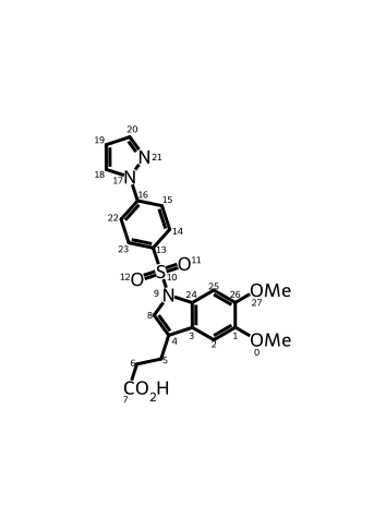 COc1cc2c(CCC(=O)O)cn(S(=O)(=O)c3ccc(-n4cccn4)cc3)c2cc1OC